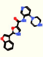 O=C(Nc1cnccc1N1CCNCC1)C1=CNC(c2coc3ccccc23)O1